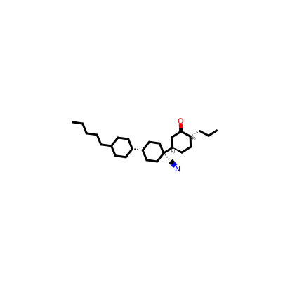 CCCCCC1CCC([C@H]2CC[C@](C#N)([C@@H]3CC[C@@H](CCC)C(=O)C3)CC2)CC1